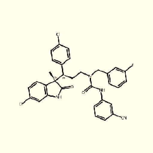 C[C@@]1([C@H](CCN(Cc2cccc(F)c2)C(=O)Nc2cccc(C#N)c2)c2ccc(Cl)cc2)C(=O)Nc2cc(Cl)ccc21